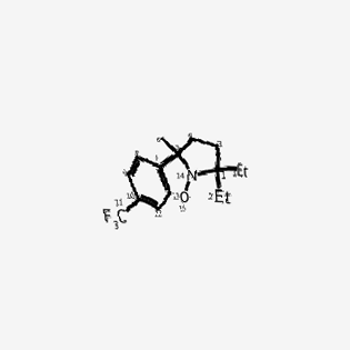 CCC1(CC)CCC(C)(c2ccc(C(F)(F)F)cc2)N1[O]